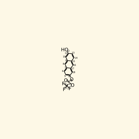 O=S(=O)(Oc1ccc2cc3cc(O)ccc3cc2c1)C(F)(F)F